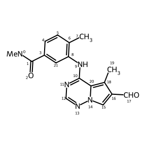 CNC(=O)c1ccc(C)c(Nc2ncnn3cc(C=O)c(C)c23)c1